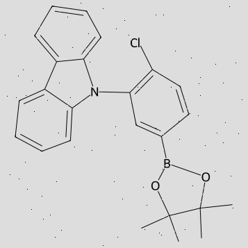 CC1(C)OB(c2ccc(Cl)c(-n3c4ccccc4c4ccccc43)c2)OC1(C)C